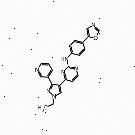 CCn1cc(-c2ccnc(Nc3ccc(-c4cnco4)cc3)n2)c(-c2cccnc2)n1